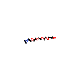 O=CCCOCCOCCOCCOCCN1CC1